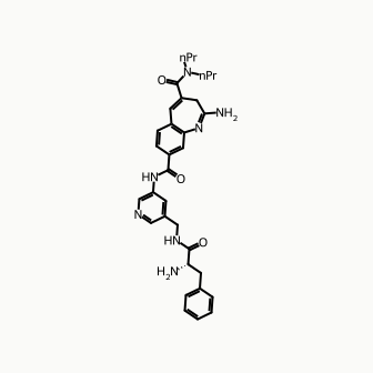 CCCN(CCC)C(=O)C1=Cc2ccc(C(=O)Nc3cncc(CNC(=O)[C@@H](N)Cc4ccccc4)c3)cc2N=C(N)C1